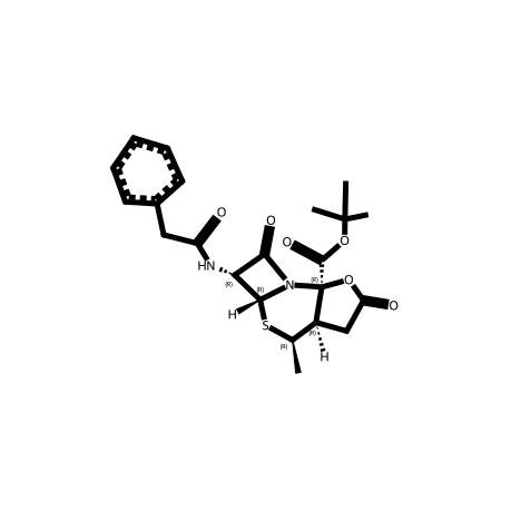 C[C@H]1S[C@@H]2[C@H](NC(=O)Cc3ccccc3)C(=O)N2[C@@]2(C(=O)OC(C)(C)C)OC(=O)C[C@@H]12